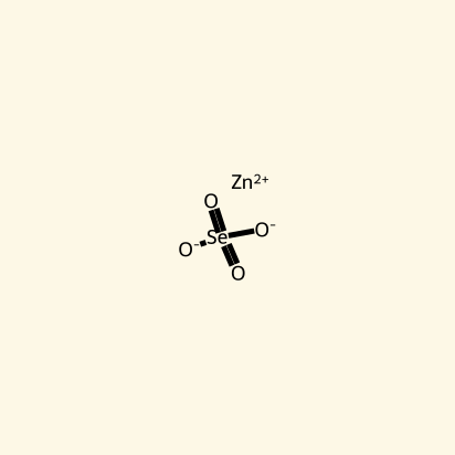 O=[Se](=O)([O-])[O-].[Zn+2]